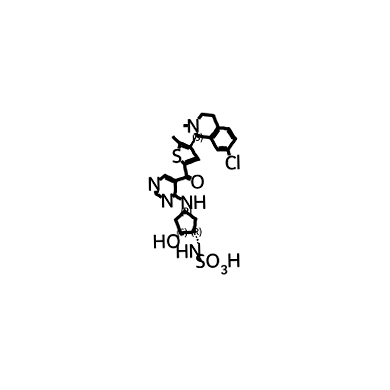 Cc1sc(C(=O)c2cncnc2N[C@@H]2C[C@H](CNS(=O)(=O)O)[C@@H](O)C2)cc1[C@@H]1c2cc(Cl)ccc2CCN1C